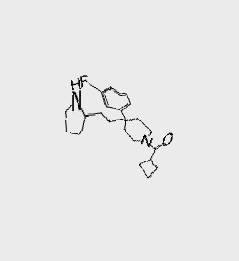 O=C(C1CCC1)N1CCC(CCC2CCCN2)(c2cccc(F)c2)CC1